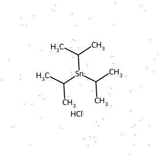 C[CH](C)[Sn]([CH](C)C)[CH](C)C.Cl